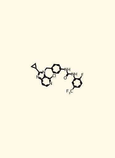 O=C(Nc1ccc(Cn2c(C3CC3)nc3ccnc(Cl)c32)cc1)Nc1cc(C(F)(F)F)ccc1F